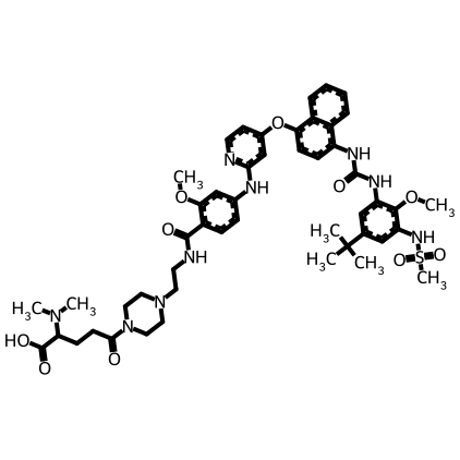 COc1cc(Nc2cc(Oc3ccc(NC(=O)Nc4cc(C(C)(C)C)cc(NS(C)(=O)=O)c4OC)c4ccccc34)ccn2)ccc1C(=O)NCCN1CCN(C(=O)CCC(C(=O)O)N(C)C)CC1